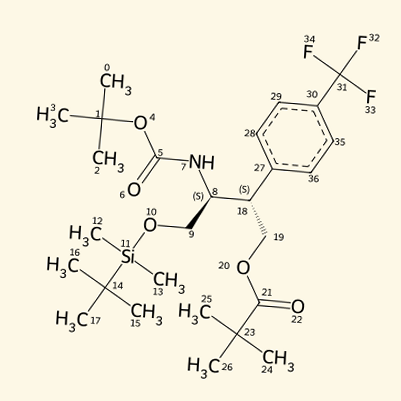 CC(C)(C)OC(=O)N[C@H](CO[Si](C)(C)C(C)(C)C)[C@@H](COC(=O)C(C)(C)C)c1ccc(C(F)(F)F)cc1